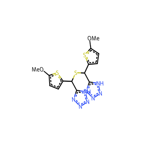 COc1ccc(C(SC(c2nnn[nH]2)c2ccc(OC)s2)c2nnn[nH]2)s1